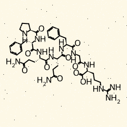 N=C(N)NCCC[C@H](NC(=O)CNC(=O)[C@H](Cc1ccccc1)NC(=O)[C@H](CCC(N)=O)NC(=O)[C@H](CCC(N)=O)NC(=O)[C@H](Cc1ccccc1)NC(=O)[C@@H]1CCCN1)C(=O)O